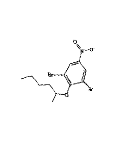 CC[CH]CC(C)Oc1c(Br)cc([N+](=O)[O-])cc1Br